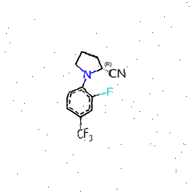 N#C[C@H]1CCCN1c1ccc(C(F)(F)F)cc1F